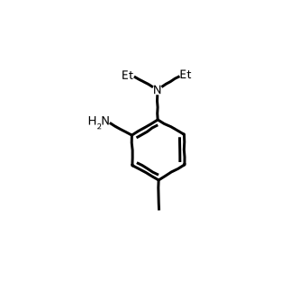 CCN(CC)c1ccc(C)cc1N